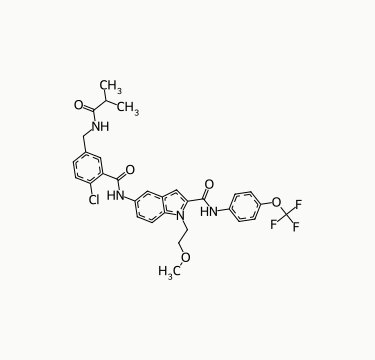 COCCn1c(C(=O)Nc2ccc(OC(F)(F)F)cc2)cc2cc(NC(=O)c3cc(CNC(=O)C(C)C)ccc3Cl)ccc21